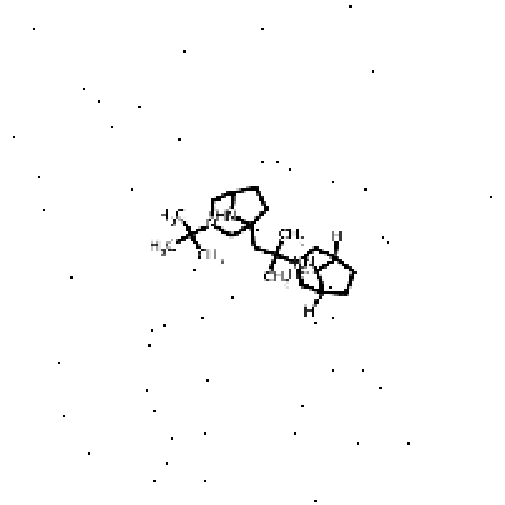 CC(C)(C)N1CC2CCC(CC(C)(C)N3C[C@H]4CC[C@@H](C3)[C@@H]4N)(C1)N2